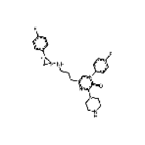 O=c1c(N2CCNCC2)nc(CCCN[C@@H]2C[C@H]2c2ccc(F)cc2)cn1-c1ccc(F)cc1